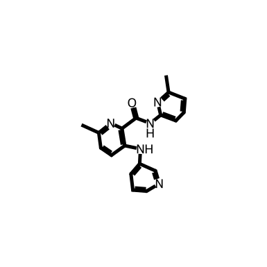 Cc1cccc(NC(=O)c2nc(C)ccc2Nc2cccnc2)n1